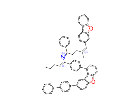 CCC/C=C(\N=C(/CC/C(C)=C\c1ccc2c(c1)oc1ccccc12)c1ccccc1)c1ccc(-c2cccc3oc4ccc(-c5ccc(-c6ccccc6)cc5)cc4c23)cc1